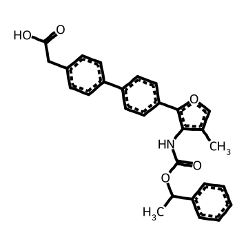 Cc1coc(-c2ccc(-c3ccc(CC(=O)O)cc3)cc2)c1NC(=O)OC(C)c1ccccc1